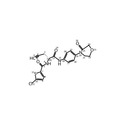 C#CC[C@@H](NC(=O)c1ccc(Cl)s1)C(=O)Nc1ccc(N2CCOCC2=O)cc1